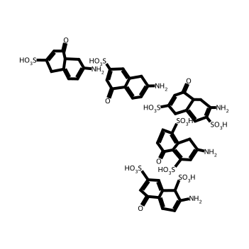 NC1=C(S(=O)(=O)O)C=C2CC(S(=O)(=O)O)=CC(=O)C2C1.NC1=CC(S(=O)(=O)O)=C2C(=O)C=CC(S(=O)(=O)O)=C2C1.NC1=CC=C2C(=O)C=C(S(=O)(=O)O)C=C2C1.NC1=CC=C2C(=O)C=C(S(=O)(=O)O)C=C2C1S(=O)(=O)O.NC1=CC=C2CC(S(=O)(=O)O)=CC(=O)C2C1